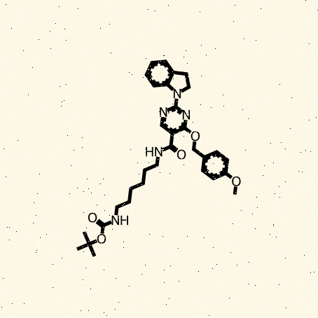 COc1ccc(COc2nc(N3CCc4ccccc43)ncc2C(=O)NCCCCCCNC(=O)OC(C)(C)C)cc1